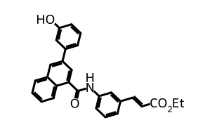 CCOC(=O)/C=C/c1cccc(NC(=O)c2cc(-c3cccc(O)c3)cc3ccccc23)c1